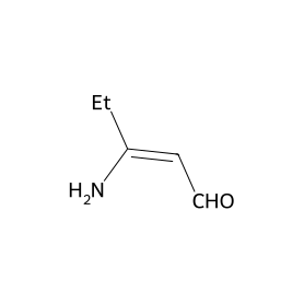 CC/C(N)=C/C=O